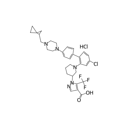 Cl.O=C(O)c1cnn(C2CCCN(c3cc(Cl)ccc3-c3ccc(N4CCN(CC5CC56CC6)CC4)cc3)C2)c1C(F)(F)F